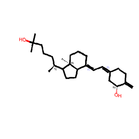 C=C1CC/C(=C/C=C2\CCC[C@@]3(C)C2CCC3[C@@H](C)CCCC(C)(C)O)C[C@H]1O